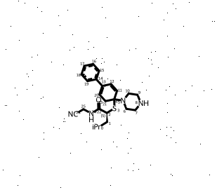 CC(C)C[C@H](SC1(N2CCNCC2)C=CC(c2ccccc2)=CC1)C(=O)NCC#N